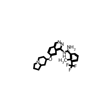 Cc1c([C@@H](N)Nc2nncc3ccc(OC4CCN5CCCC5C4)cc23)cccc1C(F)(F)F